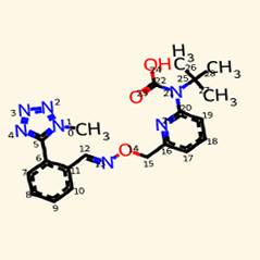 Cn1nnnc1-c1ccccc1C=NOCc1cccc(N(C(=O)O)C(C)(C)C)n1